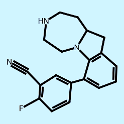 N#Cc1cc(-c2cccc3c2N2CCNCCC2C3)ccc1F